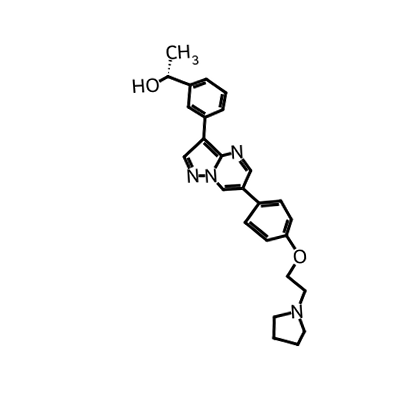 C[C@@H](O)c1cccc(-c2cnn3cc(-c4ccc(OCCN5CCCC5)cc4)cnc23)c1